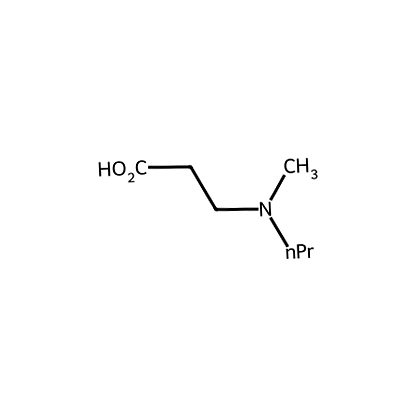 CCCN(C)CCC(=O)O